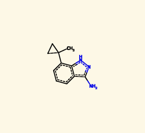 CC1(c2cccc3c(N)n[nH]c23)CC1